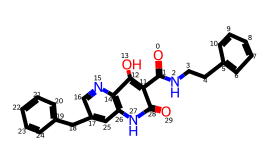 O=C(NCCc1ccccc1)c1c(O)c2ncc(Cc3ccccc3)cc2[nH]c1=O